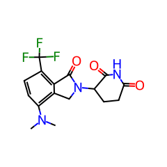 CN(C)c1ccc(C(F)(F)F)c2c1CN(C1CCC(=O)NC1=O)C2=O